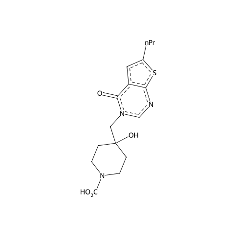 CCCc1cc2c(=O)n(CC3(O)CCN(C(=O)O)CC3)cnc2s1